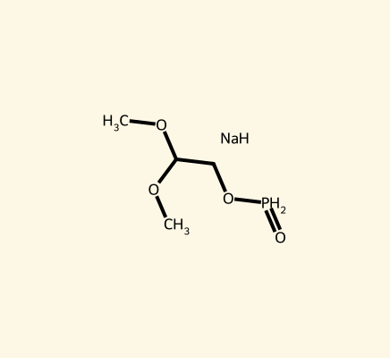 COC(CO[PH2]=O)OC.[NaH]